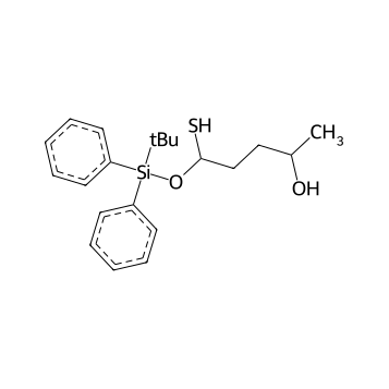 CC(O)CCC(S)O[Si](c1ccccc1)(c1ccccc1)C(C)(C)C